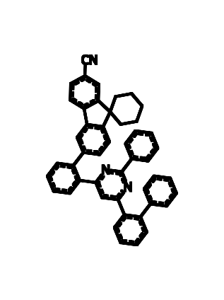 N#Cc1ccc2c(c1)C1(CCCCC1)c1ccc(-c3ccccc3-c3cc(-c4ccccc4-c4ccccc4)nc(-c4ccccc4)n3)cc1-2